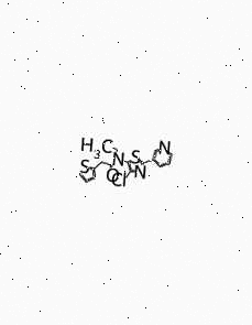 CCN(C(=O)Cc1cccs1)c1sc(-c2cccnc2)nc1Cl